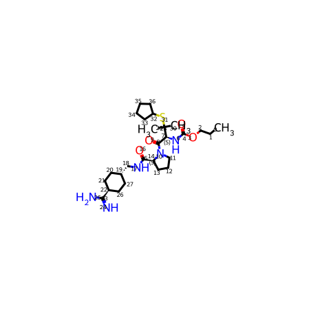 CCCOC(=O)N[C@@H](C(=O)N1CCC[C@H]1C(=O)NC[C@H]1CC[C@H](C(=N)N)CC1)C(C)(C)SC1CCCC1